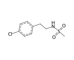 CS(=O)(=O)NCCc1ccc(Cl)cc1